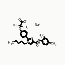 CCCCCn1cc(C(=O)Nc2ccc(C)cc2C)nc1-c1ccc(SC(C)(C)C(=O)[O-])cc1.[Na+]